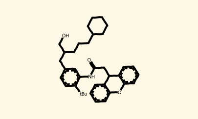 CC(C)(C)c1ccc(CC(CO)CCCC2CCCCC2)cc1NC(=O)CC1c2ccccc2Oc2ccccc21